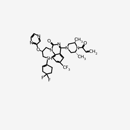 C=CC(=O)N1[C@H](C)CN(c2nc(=O)n3c4c(cc(C(F)(F)F)cc24)[SH](C2=CCC(F)(F)CC2)C[C@@H](Oc2cnccn2)C3)C[C@@H]1C